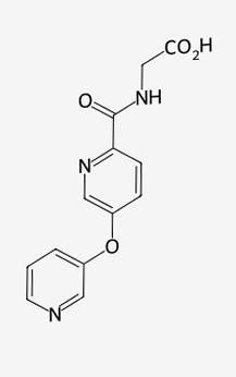 O=C(O)CNC(=O)c1ccc(Oc2cccnc2)cn1